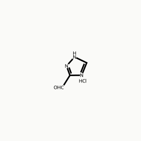 Cl.O=Cc1nc[nH]n1